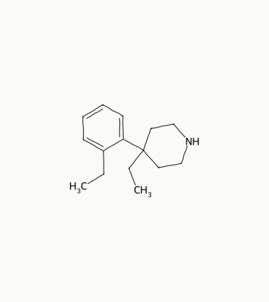 CCc1ccccc1C1(CC)CCNCC1